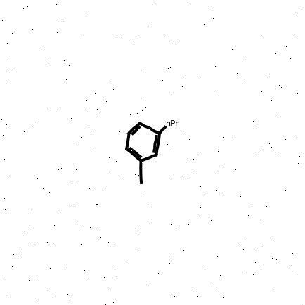 CCCc1[c]c(C)c[c]c1